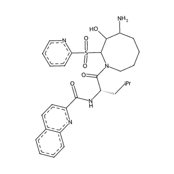 CC(C)C[C@H](NC(=O)c1ccc2ccccc2n1)C(=O)N1CCCCC(N)C(O)C1S(=O)(=O)c1ccccn1